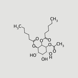 CCCCCC(=O)OC1C(OC(C)=O)[C@H](O)[C@H](O)[C@H](O)[C@H]1OC(=O)CCCCC